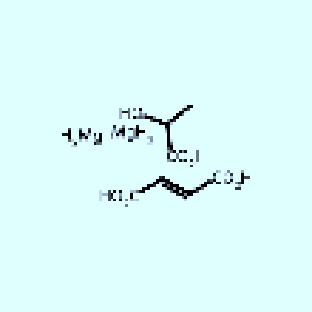 CC(O)C(=O)O.O=C(O)C=CC(=O)O.[MgH2].[MgH2]